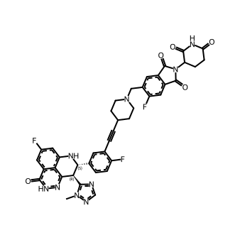 Cn1ncnc1[C@H]1c2n[nH]c(=O)c3cc(F)cc(c23)N[C@@H]1c1ccc(F)c(C#CC2CCN(Cc3cc4c(cc3F)C(=O)N(C3CCC(=O)NC3=O)C4=O)CC2)c1